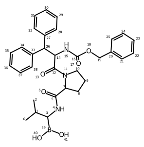 CC(C)C(NC(=O)C1CCCN1C(=O)C(NC(=O)OCc1ccccc1)C(c1ccccc1)c1ccccc1)B(O)O